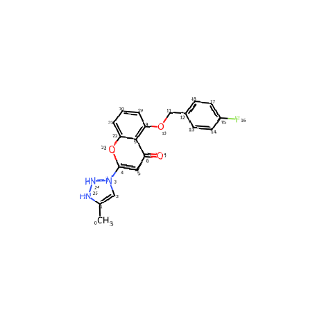 CC1=CN(c2cc(=O)c3c(OCc4ccc(F)cc4)cccc3o2)NN1